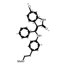 CNCCc1ccc(N/C(=C2\C(=O)Nc3cc(Cl)ccc32)c2ccccc2)cc1